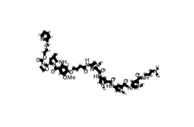 C=C1C[C@@H](C2OCCN2C(=O)OCCSSc2ccccn2)N(C(=O)c2cc(OC)c(OCCCC(=O)Nc3cn(C)c(C(=O)Nc4cc(C(=O)Nc5cc(C(=O)Nc6cc(C(=O)NCCCN(C)C)n(C)c6)n(C)c5)n(C)c4)n3)cc2N)C1